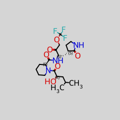 CC(C)C[C@@H](O)C(=O)N1CCCC[C@H]1C(=O)N[C@@H](C[C@@H]1CCNC1=O)C(=O)COC(F)(F)F